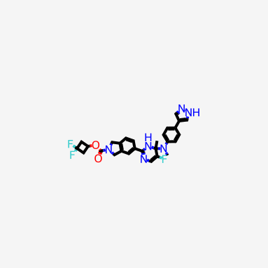 CN(c1ccc(-c2cn[nH]c2)cc1)C1(C)NC(c2ccc3c(c2)CN(C(=O)OC2CC(F)(F)C2)C3)=NC=C1F